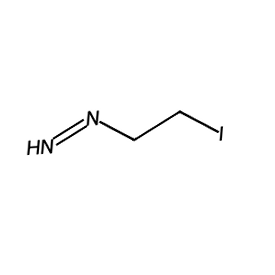 N=NCCI